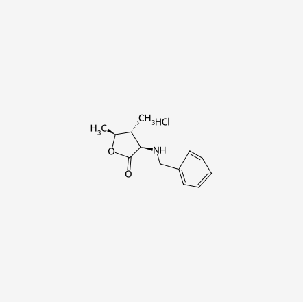 C[C@H]1[C@H](C)OC(=O)[C@@H]1NCc1ccccc1.Cl